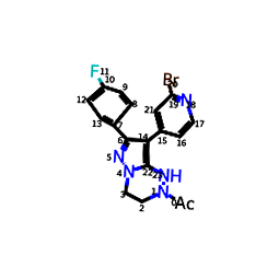 CC(=O)N1CCn2nc(-c3ccc(F)cc3)c(-c3ccnc(Br)c3)c2N1